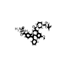 COc1ccc2c(c1)C=C(C(=O)N1CCCN(C(=O)OC(C)(C)C)CC1)Cn1c-2c(C2CCCCC2)c2ccc(C(=O)NS(N)(=O)=O)cc21